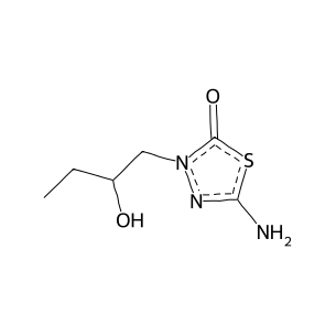 CCC(O)Cn1nc(N)sc1=O